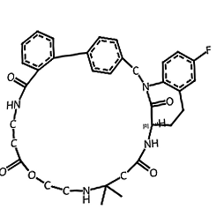 CC1(C)CC(=O)N[C@@H]2CCc3cc(F)ccc3N(Cc3ccc(cc3)-c3ccccc3C(=O)NCCC(=O)OCCN1)C2=O